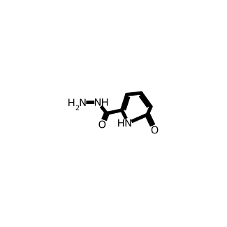 NNC(=O)c1cccc(=O)[nH]1